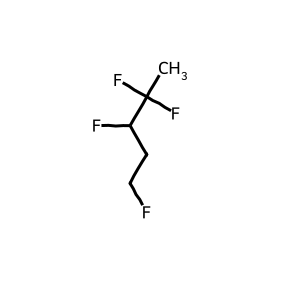 CC(F)(F)C(F)CCF